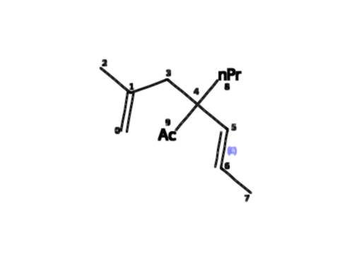 C=C(C)CC(/C=C/C)(CCC)C(C)=O